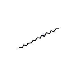 [CH2]CCCCCCCCC/C=C/CCCCCC